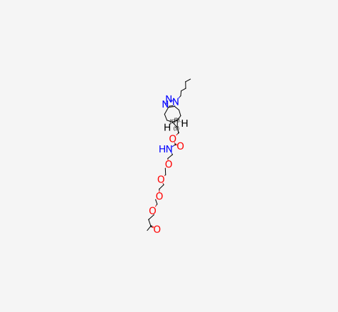 CCCCCn1nnc2c1CC[C@@H]1[C@H](CC2)[C@@H]1COC(=O)NCCOCCOCCOCCOCCC(C)=O